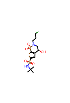 CC(C)(C)NS(=O)(=O)c1cc2c(s1)S(=O)(=O)N(CCCF)CC2O